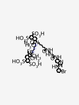 CC[N+]1=C(/C=C/C=C/C=C2/N(CCCCCC(=O)NCCNCC(=O)Nc3ccc4c(Nc5cccc(Br)c5)ncnc4c3)c3ccc4c(S(=O)(=O)O)cc(S(=O)(=O)O)cc4c3C2(C)C)C(C)(C)c2c1ccc1c(S(=O)(=O)O)cc(S(=O)(=O)O)cc21